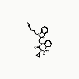 N#CCCCn1c(CN2C(=O)N(C3CC3)S(=O)(=O)c3ccccc32)nc2ccccc21